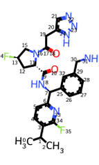 CC(C)c1ccc([C@@H](NC(=O)[C@@H]2C[C@@H](F)CN2C(=O)Cc2cnn[nH]2)c2cccc(CN)c2)nc1F